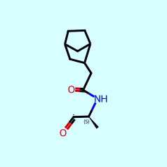 C[C@@H]([C]=O)NC(=O)CC1CC2CCC1C2